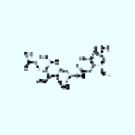 Cl.Nc1nc(N)c(CC(=O)Nc2ccc(N(C=O)[C@@H](CCC(=O)O)C(=O)O)nc2)c(=O)[nH]1